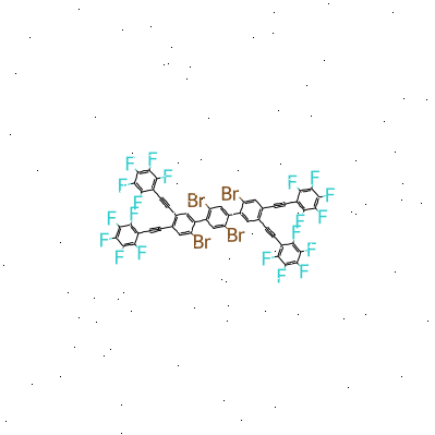 Fc1c(F)c(F)c(C#Cc2cc(Br)c(-c3cc(Br)c(-c4cc(C#Cc5c(F)c(F)c(F)c(F)c5F)c(C#Cc5c(F)c(F)c(F)c(F)c5F)cc4Br)cc3Br)cc2C#Cc2c(F)c(F)c(F)c(F)c2F)c(F)c1F